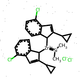 C[Si](C)=[Zr+2]([CH]1C(C2CC2)=Cc2c(Cl)cccc21)[CH]1C(C2CC2)=Cc2c(Cl)cccc21.[Cl-].[Cl-]